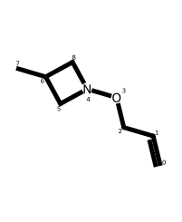 C=CCON1[CH]C(C)C1